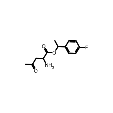 CC(=O)CC(N)C(=O)OC(C)c1ccc(F)cc1